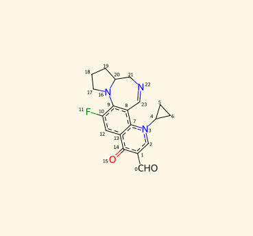 O=Cc1cn(C2CC2)c2c3c(c(F)cc2c1=O)N1CCCC1CN=C3